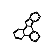 C1=CC2=C3C=c4ccccc4=C3c3ccccc3C2C=C1